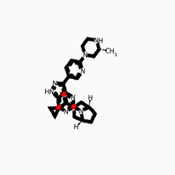 C[C@@H]1CN(c2ccc(-c3n[nH]c4cnc(N5[C@@H]6CC[C@H]5CN(C(=O)C5CC5)C6)nc34)cn2)CCN1